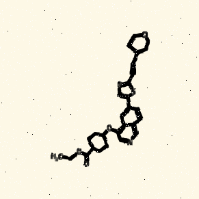 CCOC(=O)C1CCC(Oc2cncc3ccc(-c4cnc(C#CC5CCOCC5)s4)cc23)CC1